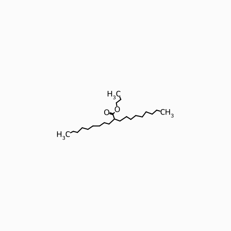 CCCCCCCCCC(CCCCCCCCC)C(=O)OCCC